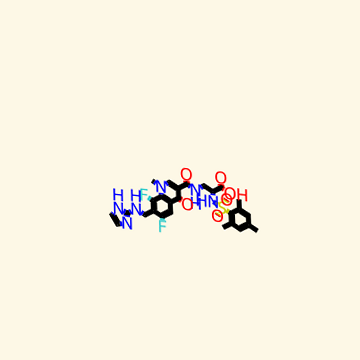 Cc1cc(C)c(S(=O)(=O)NC(CNC(=O)c2cn(C)c3c(F)c(CNc4ncc[nH]4)c(F)cc3c2=O)C(=O)O)c(C)c1